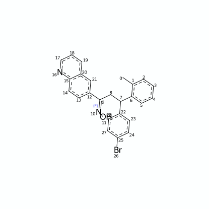 Cc1ccccc1C(C/C(=N\O)c1ccc2ncccc2c1)c1ccc(Br)cc1